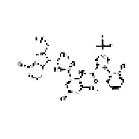 CCC1=Cc2c(S)cccc2C1C(C)NC(=O)c1cc(Cl)cc(C)c1NC(=O)c1cc(C(F)(F)F)nn1-c1ncccc1Cl